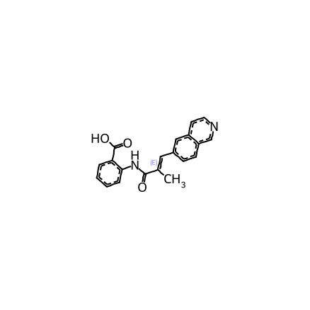 C/C(=C\c1ccc2cnccc2c1)C(=O)Nc1ccccc1C(=O)O